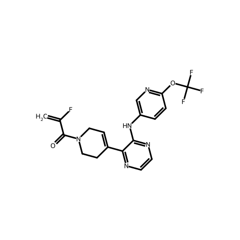 C=C(F)C(=O)N1CC=C(c2nccnc2Nc2ccc(OC(F)(F)F)nc2)CC1